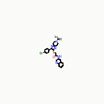 [2H]C([2H])N1CCC2(CC1)N=C(SCC(=O)Nc1cnc3ccccc3c1)C(c1ccc(Br)cc1)=N2